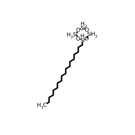 CCCCCCCCCCCCCCCCCC[SiH]1O[SiH2]O[SiH2]O[SiH2]O1